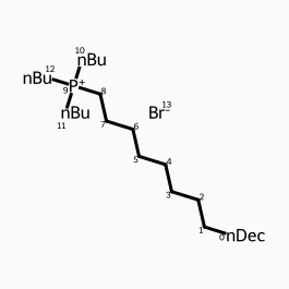 CCCCCCCCCCCCCCCCCC[P+](CCCC)(CCCC)CCCC.[Br-]